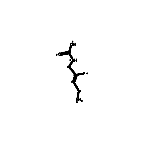 NCC=C(F)CNC(=O)O